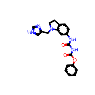 O=C(NC(=O)Oc1ccccc1)Nc1ccc2c(c1)N(Cc1c[nH]cn1)CC2